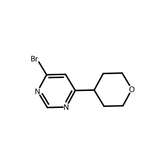 Brc1cc(C2CCOCC2)ncn1